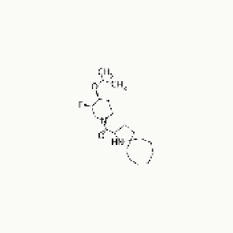 CC(C)O[C@H]1CCN(C(=O)C2CCC3(CCCCCCC3)N2)C[C@H]1F